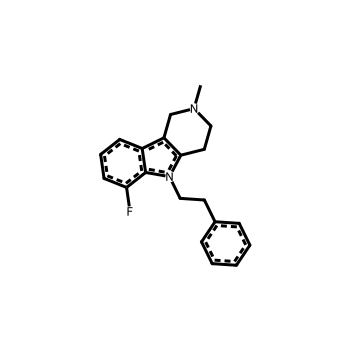 CN1CCc2c(c3cccc(F)c3n2CCc2ccccc2)C1